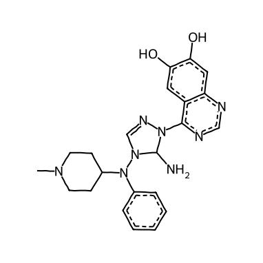 CN1CCC(N(c2ccccc2)N2C=NN(c3ncnc4cc(O)c(O)cc34)C2N)CC1